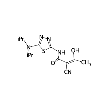 CC(O)=C(C#N)C(=O)Nc1nnc(N(C(C)C)C(C)C)s1